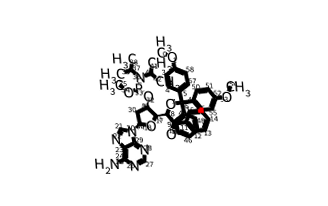 COc1ccc(C(OC(C(=O)c2ccccc2)[C@H]2O[C@@H](n3cnc4c(N)ncnc43)C[C@@H]2OP(OC)N(C(C)C)C(C)C)(c2ccccc2)c2ccc(OC)cc2)cc1